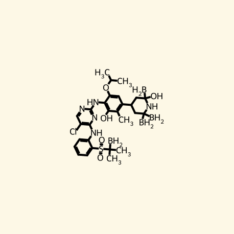 BC1(B)CC(c2cc(OC(C)C)c(Nc3ncc(Cl)c(Nc4ccccc4S(=O)(=O)C(B)(C)C)n3)c(O)c2C)CC(B)(O)N1